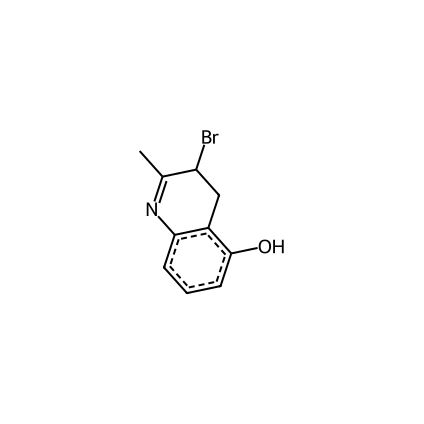 CC1=Nc2cccc(O)c2CC1Br